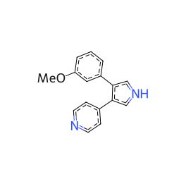 COc1cccc(-c2c[nH]cc2-c2ccncc2)c1